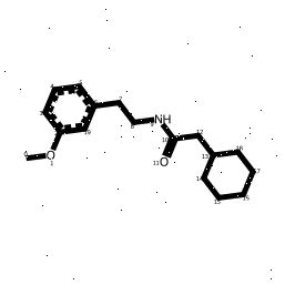 COc1cccc(CCNC(=O)CC2CCCCC2)c1